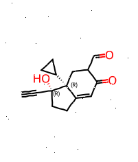 C#C[C@]1(O)CCC2=CC(=O)C(C=O)C[C@@]21C1CC1